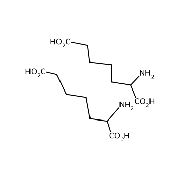 NC(CCCCC(=O)O)C(=O)O.NC(CCCCC(=O)O)C(=O)O